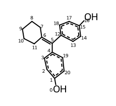 Oc1ccc(C(=C2CCCCC2)c2ccc(O)cc2)cc1